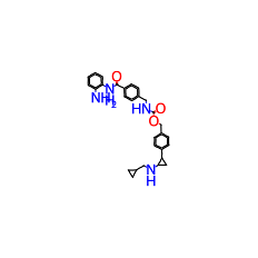 Nc1ccccc1NC(=O)c1ccc(CNC(=O)OCc2ccc(C3CC3NCC3CC3)cc2)cc1